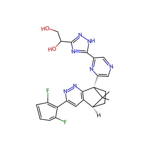 CC1(C)[C@H]2CC[C@]1(c1cncc(-c3nc(C(O)CO)n[nH]3)n1)c1nnc(-c3c(F)cccc3F)cc12